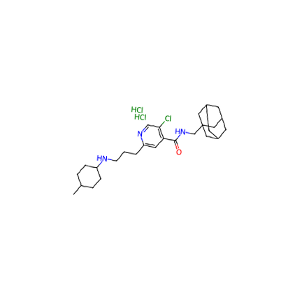 CC1CCC(NCCCc2cc(C(=O)NCC34CC5CC(CC(C5)C3)C4)c(Cl)cn2)CC1.Cl.Cl